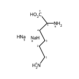 NCCCCC(N)C(=O)O.[NaH].[NaH]